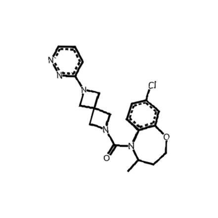 CC1CCOc2cc(Cl)ccc2N1C(=O)N1CC2(C1)CN(c1cccnn1)C2